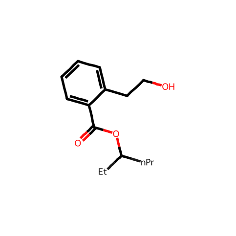 CCCC(CC)OC(=O)c1ccccc1CCO